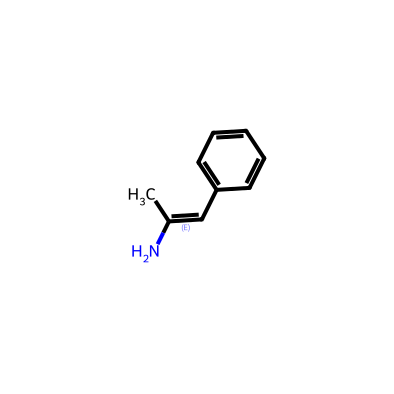 C/C(N)=C\c1ccccc1